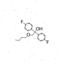 CCCCO[C@@H](C)C(O)(c1ccc(F)cc1)c1ccc(F)cc1